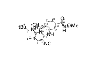 [C-]#[N+]c1cc(F)c(N(C)CC(C)(C)C)nc1Nc1cc(C(=O)NOC)ccc1C